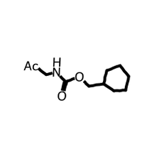 CC(=O)CNC(=O)OCC1CCCCC1